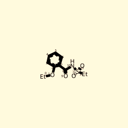 CCOc1ccccc1C(=O)NS(=O)(=O)CC